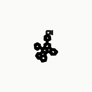 N#Cc1ccc(-c2cc3c(-c4ccccc4)c4c5cccc6cccc(c65)c4c4c5ccccc5c(c2)c34)cc1